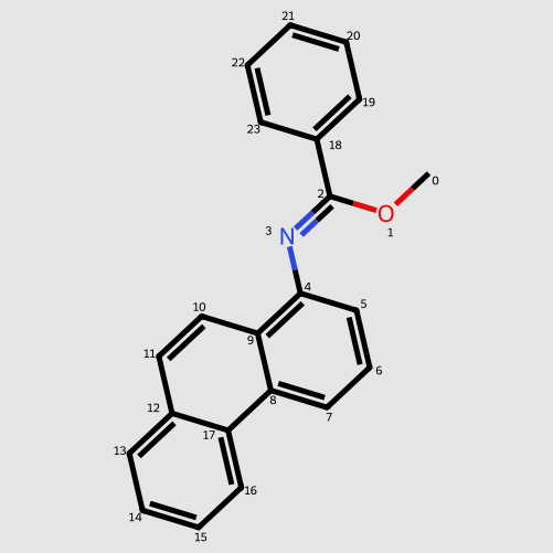 COC(=Nc1cccc2c1ccc1ccccc12)c1ccccc1